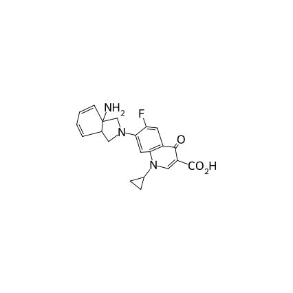 NC12C=CC=CC1CN(c1cc3c(cc1F)c(=O)c(C(=O)O)cn3C1CC1)C2